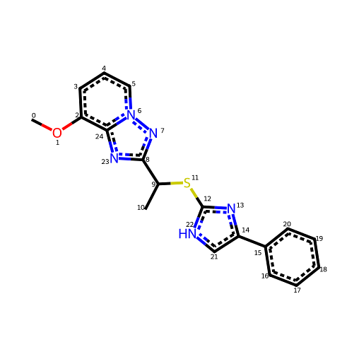 COc1cccn2nc(C(C)Sc3nc(-c4ccccc4)c[nH]3)nc12